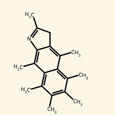 CC1=Nc2c(c(C)c3c(C)c(C)c(C)c(C)c3c2C)C1